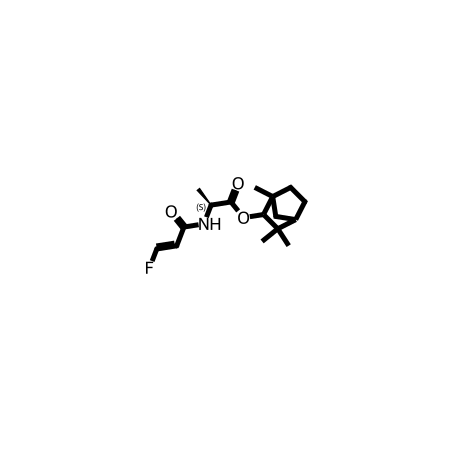 C[C@H](NC(=O)C=CF)C(=O)OC1C2(C)CCC(C2)C1(C)C